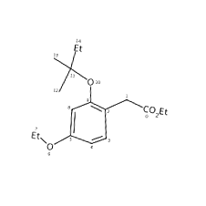 CCOC(=O)Cc1ccc(OCC)cc1OC(C)(C)CC